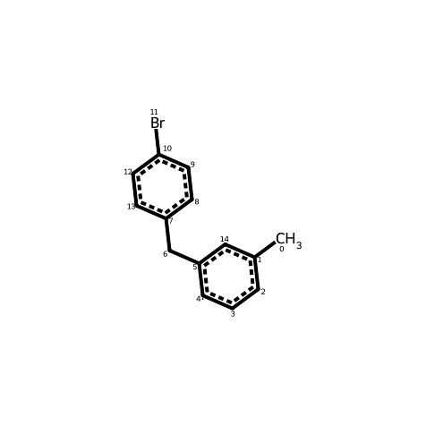 Cc1cc[c]c(Cc2ccc(Br)cc2)c1